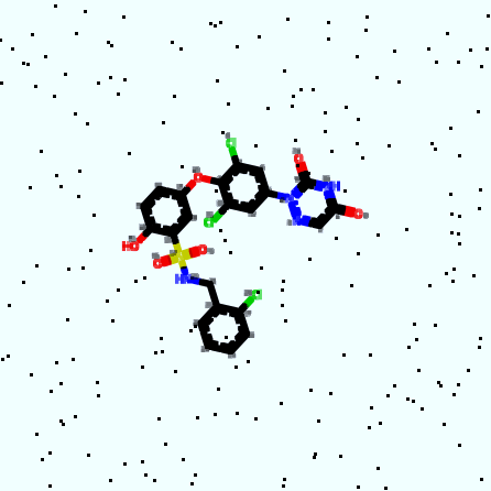 O=c1cnn(-c2cc(Cl)c(Oc3ccc(O)c(S(=O)(=O)NCc4ccccc4Cl)c3)c(Cl)c2)c(=O)[nH]1